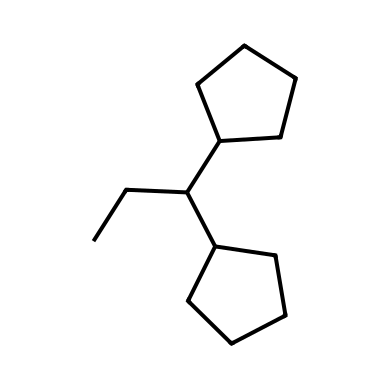 CCC(C1CCCC1)C1CCCC1